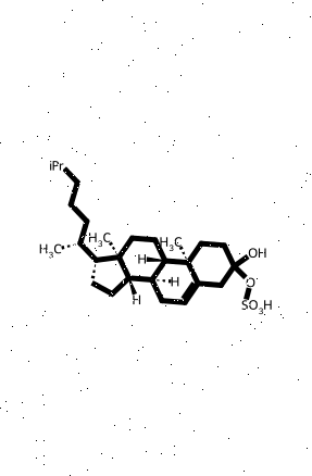 CC(C)CCC[C@@H](C)[C@H]1CC[C@H]2[C@@H]3CC=C4CC(O)(OS(=O)(=O)O)CC[C@]4(C)[C@H]3CC[C@]12C